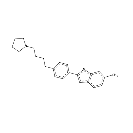 Cc1ccn2cc(-c3ccc(CCCCN4CCCC4)cc3)nc2c1